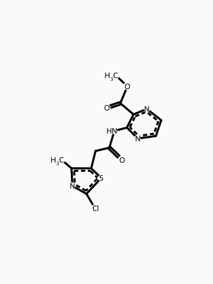 COC(=O)c1nccnc1NC(=O)Cc1sc(Cl)nc1C